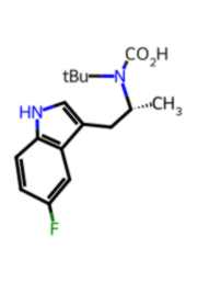 C[C@H](Cc1c[nH]c2ccc(F)cc12)N(C(=O)O)C(C)(C)C